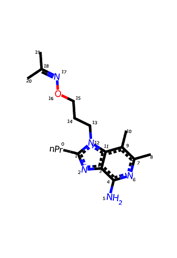 CCCc1nc2c(N)nc(C)c(C)c2n1CCCON=C(C)C